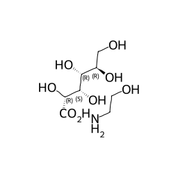 NCCO.O=C(O)[C@H](O)[C@@H](O)[C@H](O)[C@H](O)CO